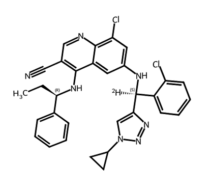 [2H][C@@](Nc1cc(Cl)c2ncc(C#N)c(N[C@H](CC)c3ccccc3)c2c1)(c1cn(C2CC2)nn1)c1ccccc1Cl